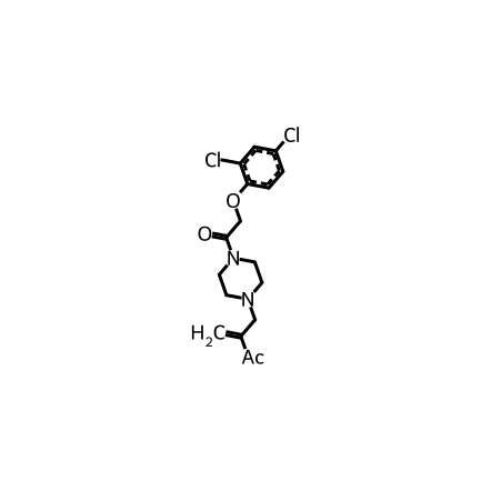 C=C(CN1CCN(C(=O)COc2ccc(Cl)cc2Cl)CC1)C(C)=O